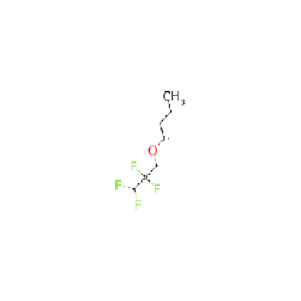 CCC[CH]OCC(F)(F)C(F)F